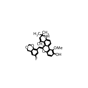 COc1c(O)ccc2c1-c1ccc3c(c1/C(=C/c1cc(F)cc4c1OCOC4)O2)C(C)=CC(C)(C)N3